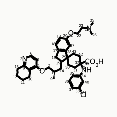 C[C@@H](COc1ccnc2c1CCCC2)CC1Cc2ccc(OCCN(C)C)cc2C12CCC(Nc1cccc(Cl)c1)(C(=O)O)CC2